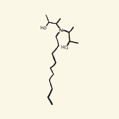 CCCCCCCCCCN(C(C)C(C)O)C(C)C(C)O